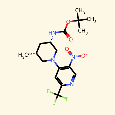 C[C@@H]1C[C@H](NC(=O)OC(C)(C)C)CN(c2cc(C(F)(F)F)ncc2[N+](=O)[O-])C1